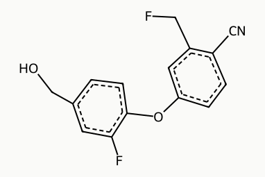 N#Cc1ccc(Oc2ccc(CO)cc2F)cc1CF